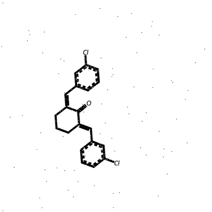 O=C1C(=Cc2cccc(Cl)c2)CCCC1=Cc1cccc(Cl)c1